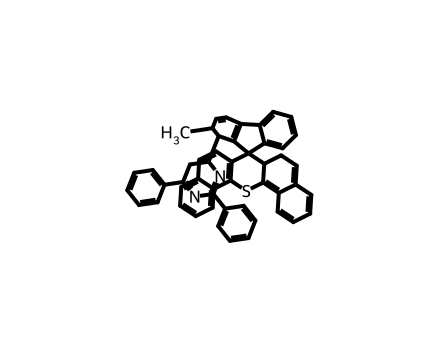 CC1C=CC2=C(C1C1CC(c3ccccc3)=NC(c3ccccc3)=N1)C1(c3ccccc32)c2ccc3ccccc3c2SC2=c3ccccc3=CCC21